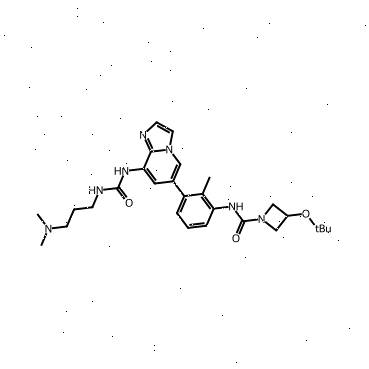 Cc1c(NC(=O)N2CC(OC(C)(C)C)C2)cccc1-c1cc(NC(=O)NCCCN(C)C)c2nccn2c1